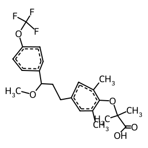 COC(CCc1cc(C)c(OC(C)(C)C(=O)O)c(C)c1)c1ccc(OC(F)(F)F)cc1